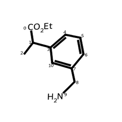 CCOC(=O)C(C)c1cccc(CN)c1